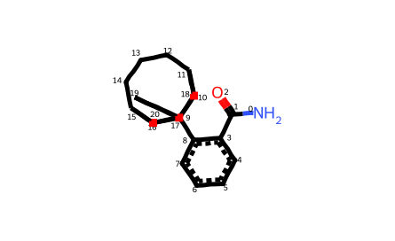 NC(=O)c1ccccc1C12CC3CCCC(CC(C3)C1)C2